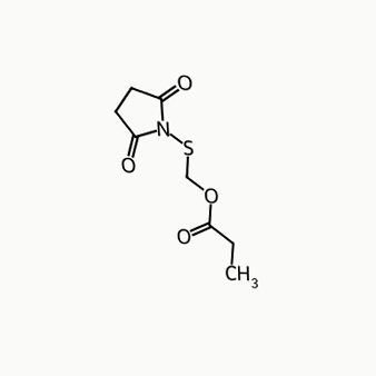 CCC(=O)OCSN1C(=O)CCC1=O